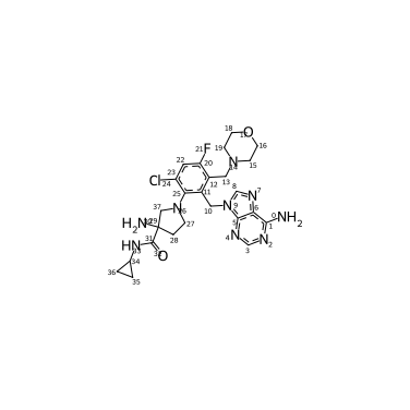 Nc1ncnc2c1ncn2Cc1c(CN2CCOCC2)c(F)cc(Cl)c1N1CCC(N)(C(=O)NC2CC2)C1